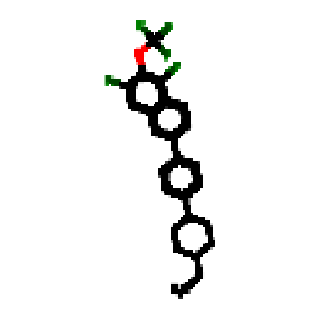 CC[C@H]1CC[C@H](c2ccc(-c3ccc4c(F)c(OC(F)(F)F)c(F)cc4c3)cc2)CC1